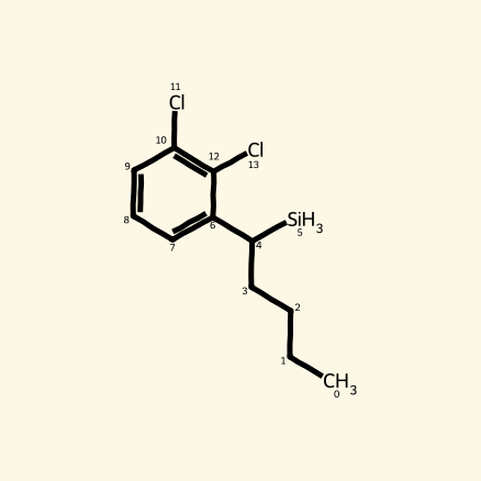 CCCCC([SiH3])c1cccc(Cl)c1Cl